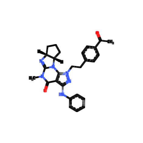 CC(=O)c1ccc(CCn2nc(Nc3ccccc3)c3c2N2C(=N[C@@H]4CCC[C@@H]42)N(C)C3=O)cc1